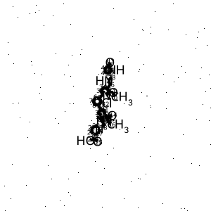 COc1nc(-c2cccc(-c3cc4c(=O)n(C)c(CN5CCC[C@@H](C(=O)O)C5)nn4c3)c2Cl)ccc1CNC[C@@H]1CCC(=O)N1